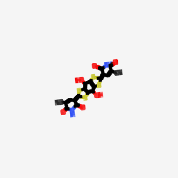 N#CC1=CC(=C2Sc3c(O)c4c(c(O)c3S2)SC(=C2C=C(C#N)C(=O)NC2=O)S4)C(=O)NC1=O